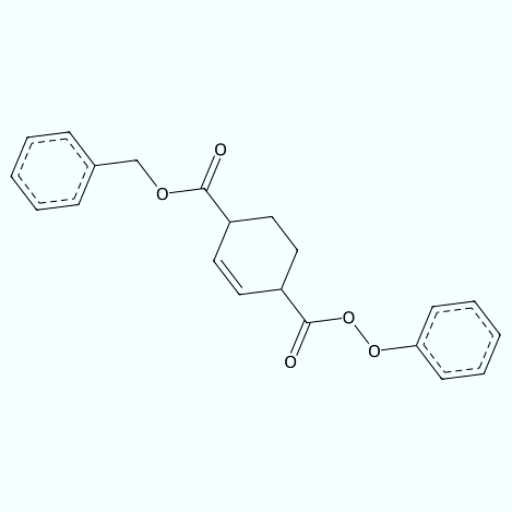 O=C(OCc1ccccc1)C1C=CC(C(=O)OOc2ccccc2)CC1